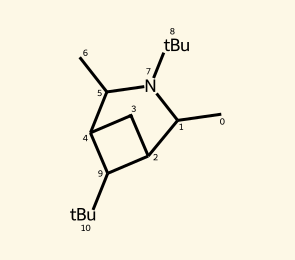 CC1C2CC(C(C)N1C(C)(C)C)C2C(C)(C)C